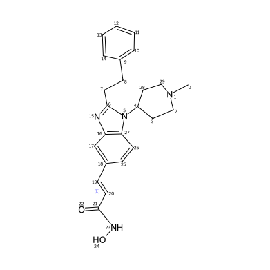 CN1CCC(n2c(CCc3ccccc3)nc3cc(/C=C/C(=O)NO)ccc32)CC1